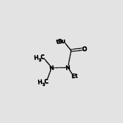 CCN(C(=O)C(C)(C)C)N(C)C